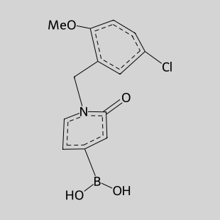 COc1ccc(Cl)cc1Cn1ccc(B(O)O)cc1=O